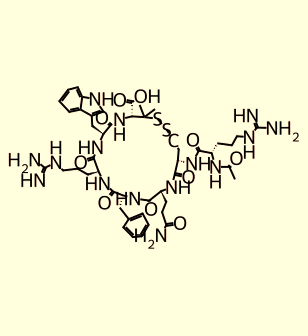 CC(=O)N[C@@H](CCCNC(=N)N)C(=O)N[C@H]1CCSSC(C)(C)[C@@H](C(=O)O)NC(=O)[C@H](Cc2c[nH]c3ccccc23)NC(=O)[C@H](CCCNC(=N)N)NC(=O)[C@@H](Cc2ccccc2)NC(=O)[C@H](CCC(N)=O)NC1=O